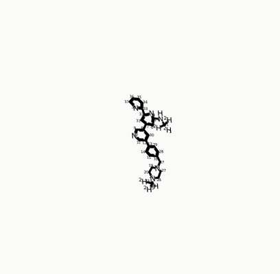 [2H]C([2H])([2H])Nc1cc(-c2cncc(-c3ccc(CN4CCN(C([2H])([2H])[2H])CC4)cc3)c2)cc(-c2ccccn2)n1